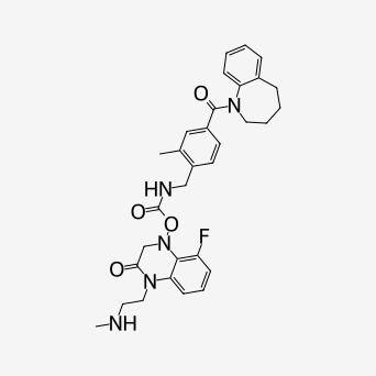 CNCCN1C(=O)CN(OC(=O)NCc2ccc(C(=O)N3CCCCc4ccccc43)cc2C)c2c(F)cccc21